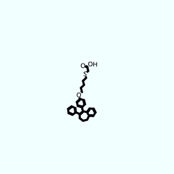 O=C(O)CSCCCCCOc1ccc(C2=C(c3ccccc3)CCCc3ccccc32)cc1